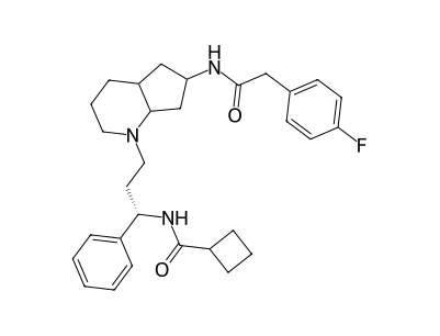 O=C(Cc1ccc(F)cc1)NC1CC2CCCN(CC[C@H](NC(=O)C3CCC3)c3ccccc3)C2C1